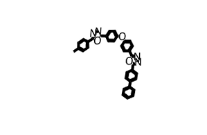 Cc1ccc(-c2nnc(-c3ccc(Oc4ccc(-c5nnc(-c6ccc(-c7ccccc7)cc6)o5)cc4)cc3)o2)cc1